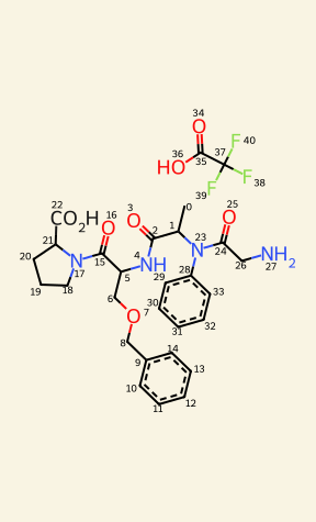 CC(C(=O)NC(COCc1ccccc1)C(=O)N1CCCC1C(=O)O)N(C(=O)CN)c1ccccc1.O=C(O)C(F)(F)F